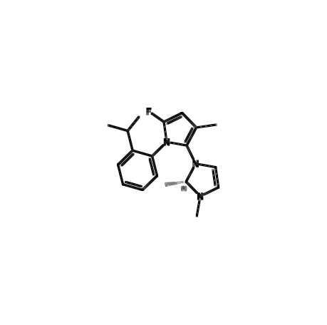 Cc1cc(F)n(-c2ccccc2C(C)C)c1N1C=CN(C)[C@@H]1C